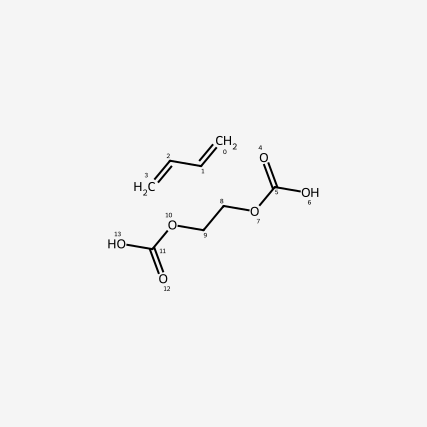 C=CC=C.O=C(O)OCCOC(=O)O